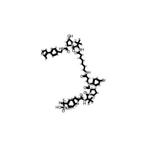 CC1=C(c2ccc(CNC(=O)[C@@H]3C[C@@H](O)CN3C(=O)C(NC(=O)CCCCCCNC(=O)CCN(C(=O)[C@@H]3CCCN3C(=O)C(NC(=O)c3cc4cc(C(F)(F)P(=O)(O)O)ccc4s3)C(C)(C)C)c3ccc(Br)cc3)C(C)(C)C)cc2)CC=N1